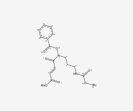 COC(=O)/C=C/C(=O)N(CCCNC(=O)OC(C)(C)C)OC(=O)c1ccccc1